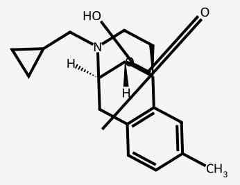 Cc1ccc2c(c1)[C@]13CCN(CC4CC4)[C@H](C2)[C@@H]1C(O)OC(=O)C3